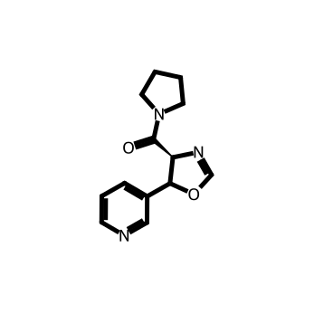 O=C([C@H]1N=COC1c1cccnc1)N1CCCC1